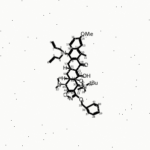 C=CCN(CC=C)c1c2c(c(C)c3cc(OC)ccc13)C(=O)C1=C(O)[C@]3(O[Si](C)(C)C(C)(C)C)C(=O)c4c(OCc5ccccc5)noc4[C@@H](N(C)C)[C@@H]3C[C@@H]1C2